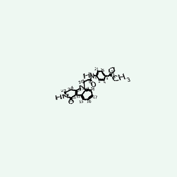 CC(=O)c1ccc(NC(=O)Cn2c3c(c4ccccc42)C(=O)NCC3)cc1